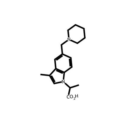 Cc1cn(C(C)C(=O)O)c2ccc(CN3CCCCC3)cc12